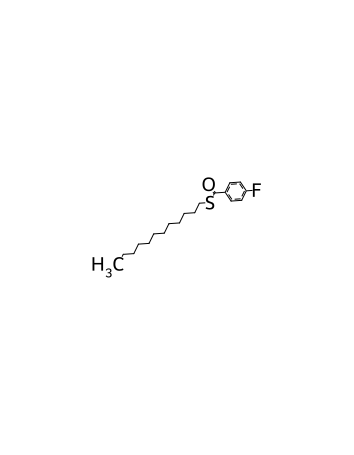 CCCCCCCCCCCCSC(=O)c1ccc(F)cc1